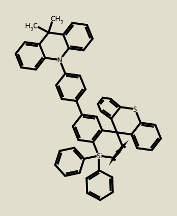 CC1(C)c2ccccc2N(c2ccc(-c3ccc4c(c3)C3(c5ccccc5Sc5ccccc53)c3ccccc3[Si]4(c3ccccc3)c3ccccc3)cc2)c2ccccc21